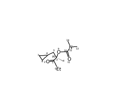 CCC(=O)[C@@](C)(CC1CC1)OC(=O)N(C)C